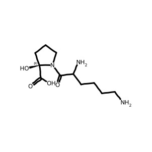 NCCCCC(N)C(=O)N1CCC[C@@]1(O)C(=O)O